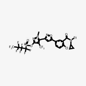 CCN(C(=O)c1cc(-c2cc(-c3c(C(F)(F)F)c(OS(=O)(=O)C(F)(F)C(F)(F)C(F)(F)C(F)(F)F)nn3C)no2)ccc1Cl)C1CC1